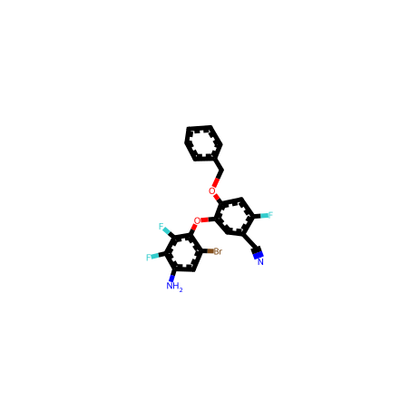 N#Cc1cc(Oc2c(Br)cc(N)c(F)c2F)c(OCc2ccccc2)cc1F